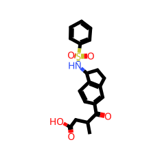 CC(CC(=O)O)C(=O)c1ccc2c(c1)CCC2NS(=O)(=O)c1ccccc1